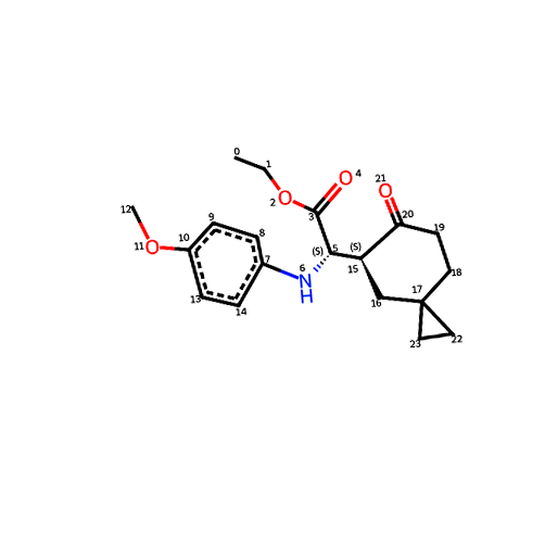 CCOC(=O)[C@@H](Nc1ccc(OC)cc1)[C@@H]1CC2(CCC1=O)CC2